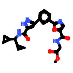 COC(=O)CNC(=O)c1cnc(-c2cccc(-c3cc(C(=O)NC(C4CC4)C4CC4)[nH]n3)c2)o1